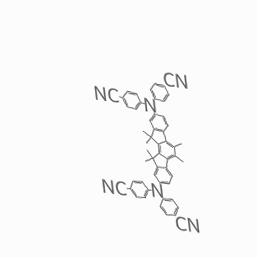 Cc1c(C)c2c(c3c1-c1ccc(N(c4ccc(C#N)cc4)c4ccc(C#N)cc4)cc1C3(C)C)C(C)(C)c1cc(N(c3ccc(C#N)cc3)c3ccc(C#N)cc3)ccc1-2